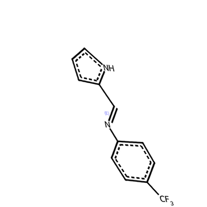 FC(F)(F)c1ccc(/N=C/c2ccc[nH]2)cc1